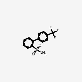 NS(=O)(=O)c1ccccc1-c1ccc(C(F)(F)F)cc1